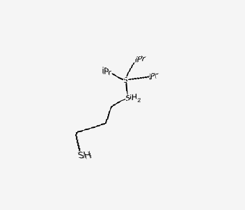 CC(C)S([SiH2]CCCS)(C(C)C)C(C)C